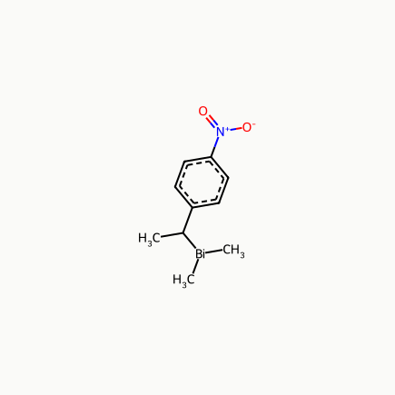 C[CH](c1ccc([N+](=O)[O-])cc1)[Bi]([CH3])[CH3]